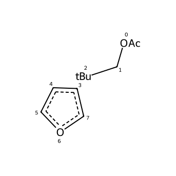 CC(=O)OCC(C)(C)C.c1ccoc1